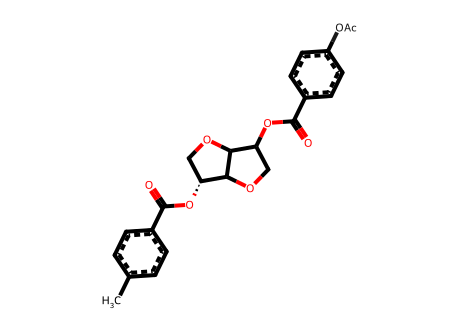 CC(=O)Oc1ccc(C(=O)OC2COC3C2OC[C@H]3OC(=O)c2ccc(C)cc2)cc1